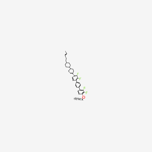 C/C=C/CCC1CCC(C2CC=C(c3ccc(-c4ccc(-c5ccc(OCCCCCC)c(F)c5F)cc4)c(F)c3F)CC2)CC1